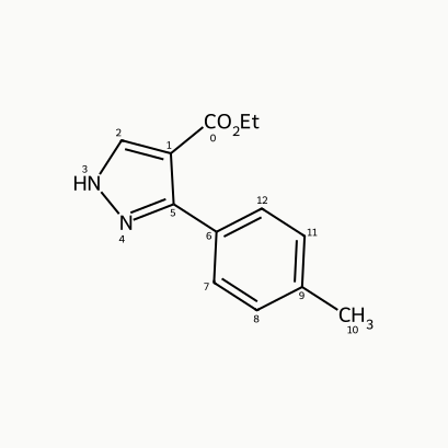 CCOC(=O)c1c[nH]nc1-c1ccc(C)cc1